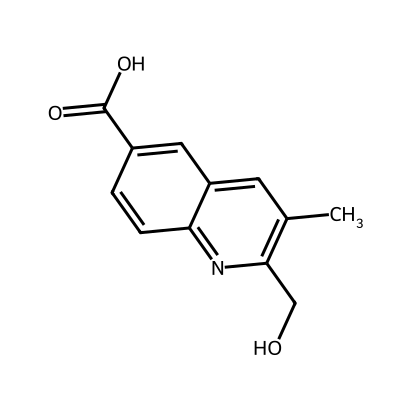 Cc1cc2cc(C(=O)O)ccc2nc1CO